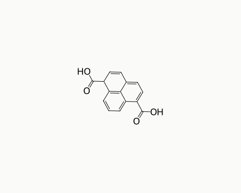 O=C(O)c1ccc2c3c(cccc13)C(C(=O)O)C=C2